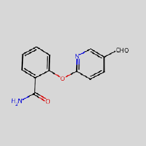 NC(=O)c1ccccc1Oc1ccc(C=O)cn1